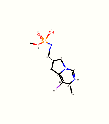 COP(=O)(O)NC[C@H]1CC2=C(I)[C@H](C)N=CN2C1